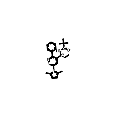 CC[C@H](N[S+]([O-])C(C)(C)C)c1cc(-n2c(C)ccc2C)nnc1-c1ccccc1